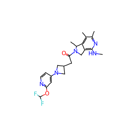 CNc1nc(C)c(C)c2c1CN(C(=O)CC1CN(c3ccnc(OC(F)F)c3)C1)C2C